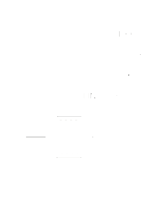 COc1cc(NCC(C)(C)CO)ccc1C